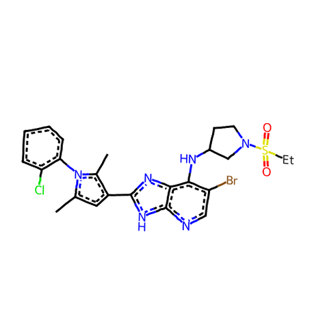 CCS(=O)(=O)N1CCC(Nc2c(Br)cnc3[nH]c(-c4cc(C)n(-c5ccccc5Cl)c4C)nc23)C1